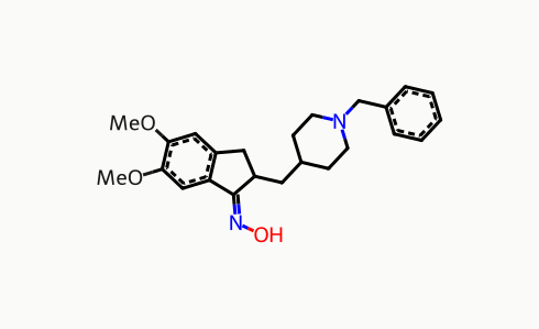 COc1cc2c(cc1OC)C(=NO)C(CC1CCN(Cc3ccccc3)CC1)C2